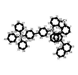 c1ccc(-c2cccc3sc4cccc(N(c5ccc(-c6ccc([Si](c7ccccc7)(c7ccccc7)c7ccccc7)cc6)cc5)c5ccc(-c6cccc7ccccc67)cc5)c4c23)cc1